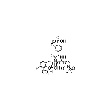 CS(=O)(=O)N1CCN(C(=O)NC(C(=O)NC2Cc3ccc(F)c(C(=O)O)c3OB2O)c2ccc(P(=O)(O)O)c(F)c2)C1=O